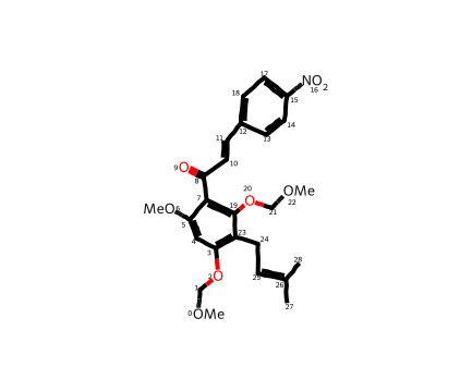 COCOc1cc(OC)c(C(=O)/C=C/c2ccc([N+](=O)[O-])cc2)c(OCOC)c1CC=C(C)C